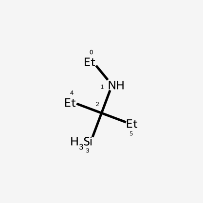 CCNC([SiH3])(CC)CC